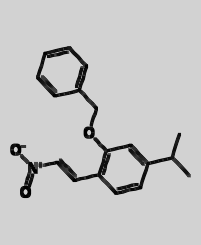 CC(C)c1ccc(/C=C/[N+](=O)[O-])c(OCc2ccccc2)c1